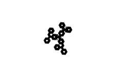 C1=CC(/C(=C/c2ccc(N(c3ccc(/C(=C\c4ccccc4)C4=CCCC=C4)cc3)C3C=CC(N(c4ccccc4)c4ccccc4)=CC3)cc2)c2ccccc2)=CCC1